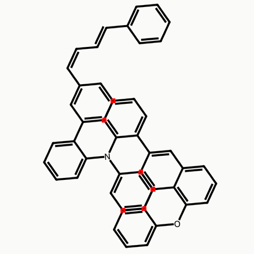 C(=C/c1cccc(-c2ccccc2N(c2ccccc2)c2ccccc2-c2cc3c4c(cccc4c2)Oc2ccccc2-3)c1)/C=C/c1ccccc1